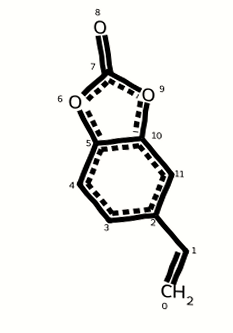 C=Cc1ccc2oc(=O)oc2c1